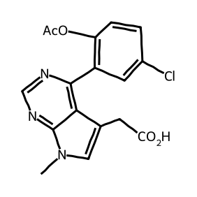 CC(=O)Oc1ccc(Cl)cc1-c1ncnc2c1c(CC(=O)O)cn2C